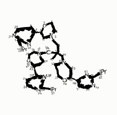 [CH2]C(CN1CCO[C@H](c2ccnc(C(C)C)n2)C1)(CN1CCO[C@H](c2ccnc(C(C)C)n2)C1)CN1CCO[C@H](c2ccnc(C(C)C)n2)C1